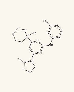 CC(C)c1ccnc(Nc2cc(C3(C(C)C)CCOCC3)cc(N3CCCC3C)n2)c1